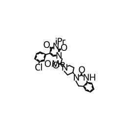 COc1c(Cl)cccc1-c1cn(CC(=O)N2CCC(N3CCc4ccccc4NC3=O)CC2)c(=O)n(C(C)C)c1=O